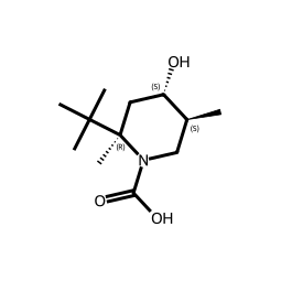 C[C@H]1CN(C(=O)O)[C@@](C)(C(C)(C)C)C[C@@H]1O